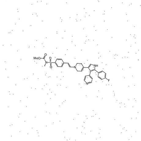 COC(=O)N(C)S(=O)(=O)c1ccc(C=CN2CC=C(c3c[nH]c(-c4ccc(F)cc4)c3-c3ccncc3)CC2)cc1